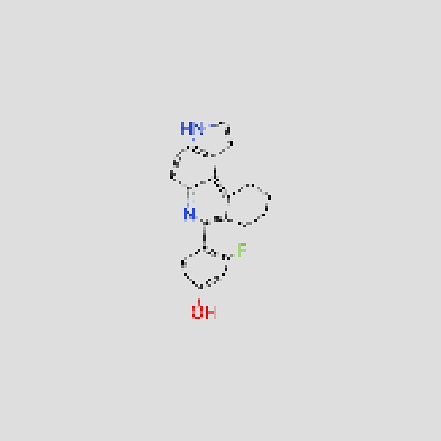 Oc1ccc(-c2nc3ccc4[nH]ccc4c3c3c2CCCC3)c(F)c1